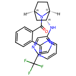 O=C(c1ccccc1-c1ncccn1)N1[C@@H]2CC[C@H]1[C@H](Nc1cnc(C(F)(F)F)cn1)C2